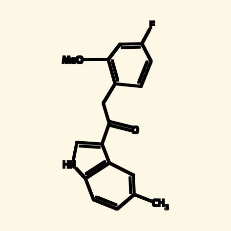 COc1cc(F)ccc1CC(=O)c1c[nH]c2ccc(C)cc12